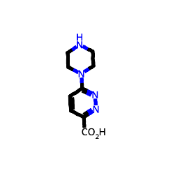 O=C(O)c1ccc(N2CCNCC2)nn1